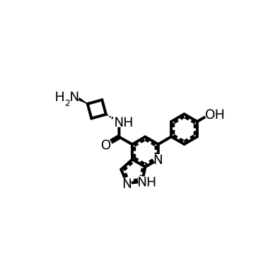 N[C@H]1C[C@H](NC(=O)c2cc(-c3ccc(O)cc3)nc3[nH]ncc23)C1